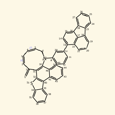 C=C1/C=C\C=C/CN(c2cccc(-c3ccc4c5c(cccc35)-c3ccccc3-4)c2)c2c1c1sc3ccccc3c1c1ccccc21